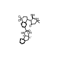 CC1(C)CC(=O)N(C2CCS(=O)(=O)c3ccc(C(=O)N[C@@H]4c5ccccc5C[C@]4(C)O)cc32)C(=N)N1